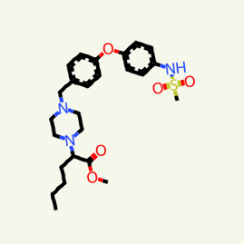 CCCCC(C(=O)OC)N1CCN(Cc2ccc(Oc3ccc(NS(C)(=O)=O)cc3)cc2)CC1